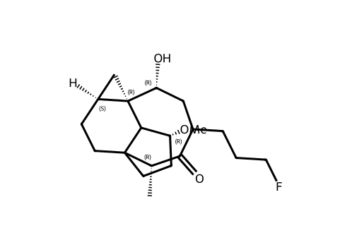 CO[C@@H]1CCC23CC[C@H]4C[C@@]4(C12)[C@H](O)CC(CCCF)C(=O)[C@@H]3C